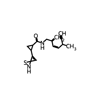 C#CC(C)/C=C\C(=C)CNC(=O)C1CC1C1=CC12NS2